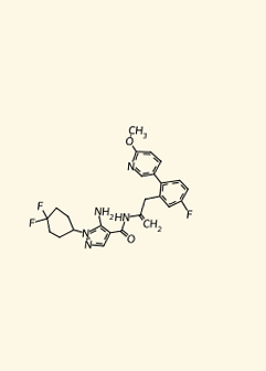 C=C(Cc1cc(F)ccc1-c1ccc(OC)nc1)NC(=O)c1cnn(C2CCC(F)(F)CC2)c1N